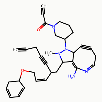 C#CCC#CC(/C=C\COC1C=CC=CC1)CC1/C2=C(N)/N=C\CC#CC2N(C2CCCN(C(=O)C#C)C2)N1C